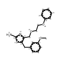 COc1cccc(Cc2sc(N)nc2COCCOc2ccccc2)c1